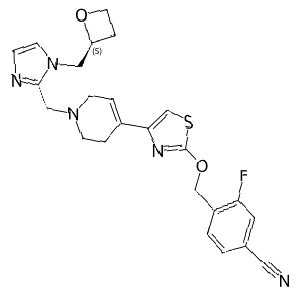 N#Cc1ccc(COc2nc(C3=CCN(Cc4nccn4C[C@@H]4CCO4)CC3)cs2)c(F)c1